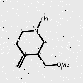 C=C1CCN(CCC)CC1COC